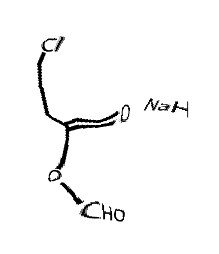 O=COC(=O)CCl.[NaH]